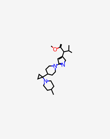 C=C(OC)C(C1=CC(N2CCC(C3(N4CCC(C)CC4)CC3)CC2)=NC1)C(C)C